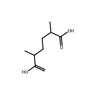 C=C(O)C(C)CCC(C)C(=O)O